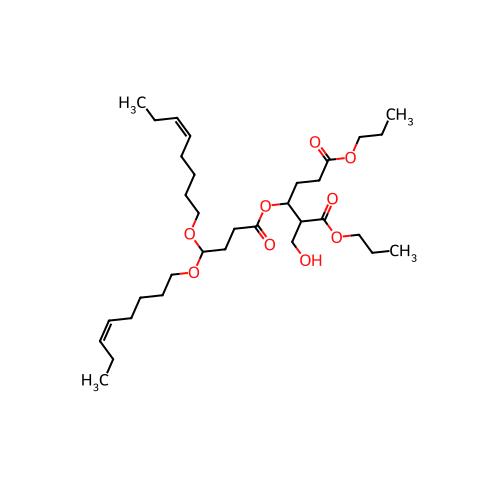 CC/C=C\CCCCOC(CCC(=O)OC(CCC(=O)OCCC)C(CO)C(=O)OCCC)OCCCC/C=C\CC